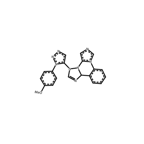 COc1ccc(-n2nncc2N2C=NC3c4ccccc4-n4cncc4N32)cc1